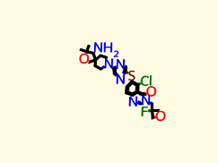 CC1(C)OCC2(CCN(c3cnc(Sc4ccc5ncn(CC6(F)COC6)c(=O)c5c4Cl)cn3)CC2)[C@@H]1N